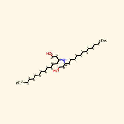 CCCCCCCCCCCCCCCCCCCCCC(CCO)NC(CCO)CCCCCCCCCCCCCCCCCCCCC